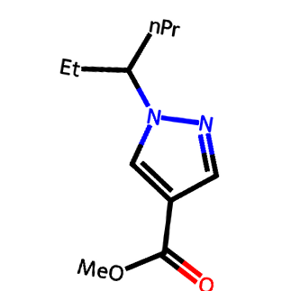 CCCC(CC)n1cc(C(=O)OC)cn1